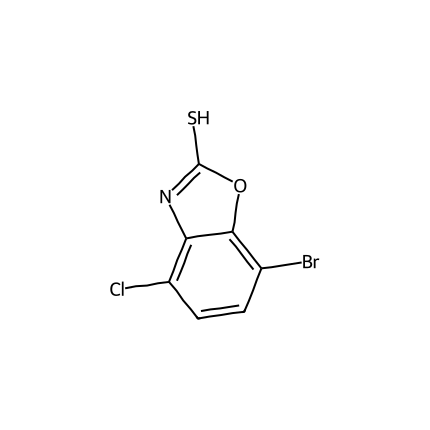 Sc1nc2c(Cl)ccc(Br)c2o1